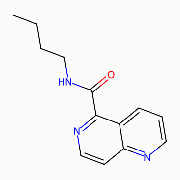 CCCCNC(=O)c1nccc2ncccc12